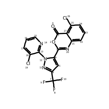 O=c1oc(-c2cc(C(F)(F)F)nn2-c2ncccc2Cl)nc2cccc(Cl)c12